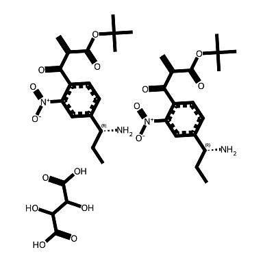 C=C(C(=O)OC(C)(C)C)C(=O)c1ccc([C@H](N)CC)cc1[N+](=O)[O-].C=C(C(=O)OC(C)(C)C)C(=O)c1ccc([C@H](N)CC)cc1[N+](=O)[O-].O=C(O)C(O)C(O)C(=O)O